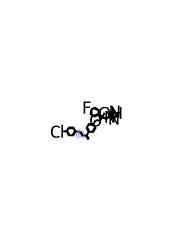 C=C(/C=C/c1ccc(Cl)cc1)c1ccc(OCC(O)(Cn2cncn2)c2ccc(F)cc2)cc1